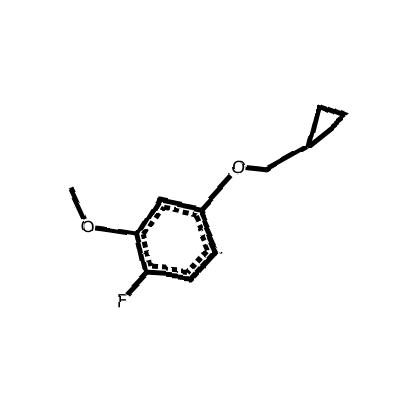 COc1cc(OCC2CC2)[c]cc1F